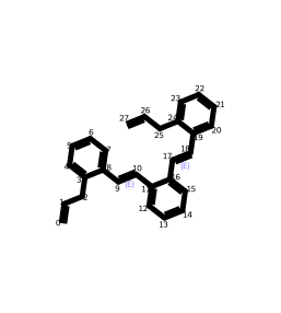 C=CCc1ccccc1/C=C/c1ccccc1/C=C/c1ccccc1CC=C